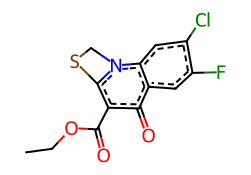 CCOC(=O)c1c2n(c3cc(Cl)c(F)cc3c1=O)CS2